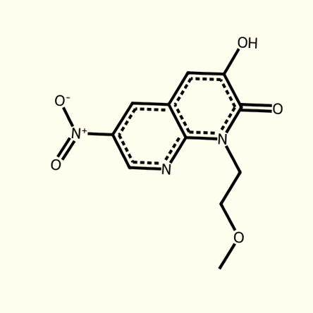 COCCn1c(=O)c(O)cc2cc([N+](=O)[O-])cnc21